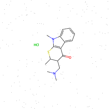 CC1Sc2c(c3ccccc3n2C)C(=O)C1CN(C)C.Cl